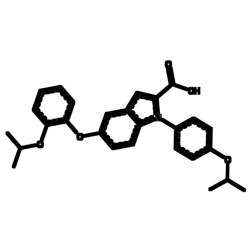 CC(C)Oc1ccc(-n2c(C(=O)O)cc3cc(Oc4ccccc4OC(C)C)ccc32)cc1